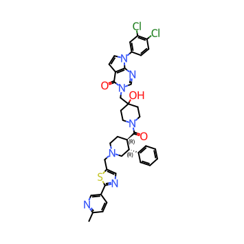 Cc1ccc(-c2ncc(CN3CC[C@@H](C(=O)N4CCC(O)(Cn5cnc6c(ccn6-c6ccc(Cl)c(Cl)c6)c5=O)CC4)[C@H](c4ccccc4)C3)s2)cn1